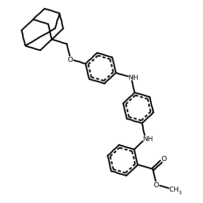 COC(=O)c1ccccc1Nc1ccc(Nc2ccc(OCC34CC5CC(CC(C5)C3)C4)cc2)cc1